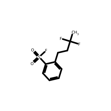 CC(F)(F)CCc1ccccc1S(=O)(=O)F